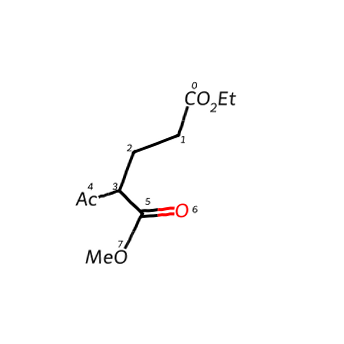 CCOC(=O)CCC(C(C)=O)C(=O)OC